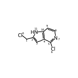 ClCc1cc2c(Cl)nccc2[nH]1